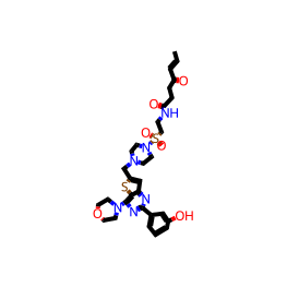 CC=CC(=O)CCC(=O)NCCS(=O)(=O)N1CCN(Cc2cc3nc(-c4cccc(O)c4)nc(N4CCOCC4)c3s2)CC1